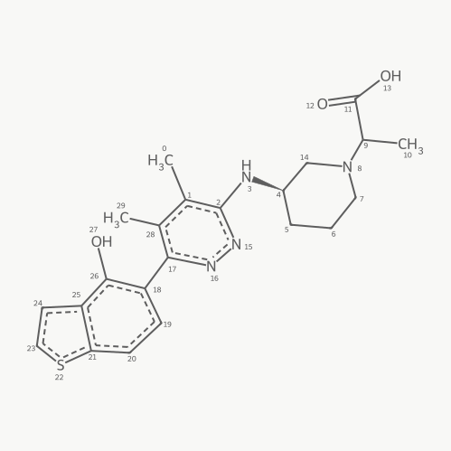 Cc1c(N[C@@H]2CCCN(C(C)C(=O)O)C2)nnc(-c2ccc3sccc3c2O)c1C